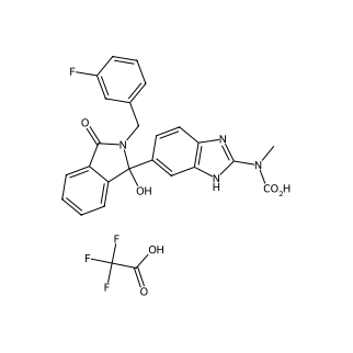 CN(C(=O)O)c1nc2ccc(C3(O)c4ccccc4C(=O)N3Cc3cccc(F)c3)cc2[nH]1.O=C(O)C(F)(F)F